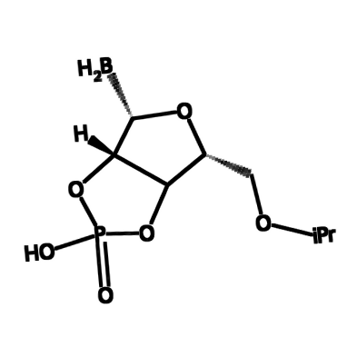 B[C@@H]1O[C@H](COC(C)C)C2OP(=O)(O)O[C@@H]21